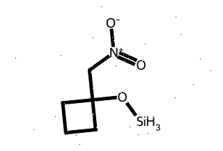 O=[N+]([O-])CC1(O[SiH3])CCC1